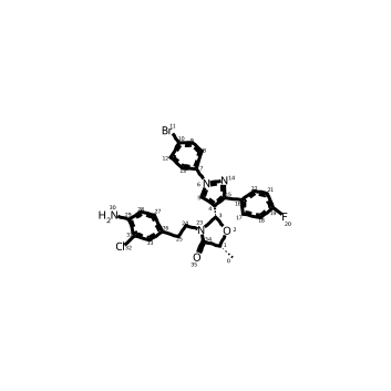 C[C@H]1O[C@@H](c2cn(-c3ccc(Br)cc3)nc2-c2ccc(F)cc2)N(CCc2ccc(N)c(Cl)c2)C1=O